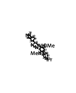 CNc1cc(Nc2cc(-c3ccc4c(cnn4C)c3)ncn2)c(OC)cc1N1CCN(C(C)C)CC1